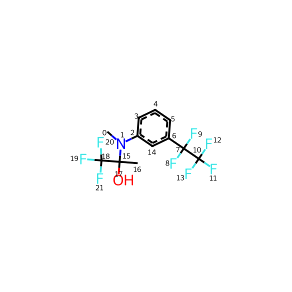 CN(c1cccc(C(F)(F)C(F)(F)F)c1)C(C)(O)C(F)(F)F